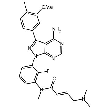 COc1cc(-c2nn(-c3cccc(N(C)C(=O)/C=C/CN(C)C)c3F)c3ncnc(N)c23)ccc1C